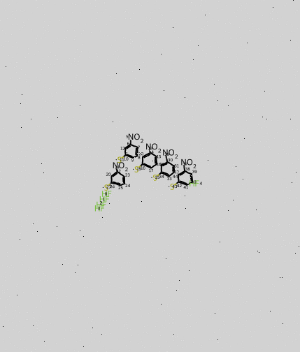 F.F.F.F.F.O=[N+]([O-])c1cccc([S])c1.O=[N+]([O-])c1cccc([S])c1.O=[N+]([O-])c1cccc([S])c1.O=[N+]([O-])c1cccc([S])c1.O=[N+]([O-])c1cccc([S])c1